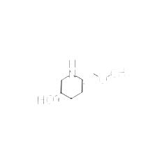 COC[C@@H]1CC[C@@H](O)CN1